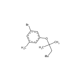 CCC(C)CC(C)(C)Oc1cc(C)cc(Br)c1